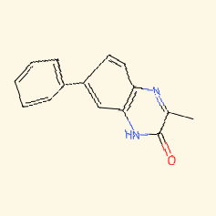 Cc1nc2ccc(-c3ccccc3)cc2[nH]c1=O